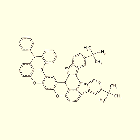 CC(C)(C)c1ccc2sc3c(c2c1)-n1c2ccc(C(C)(C)C)cc2c2ccc4c(c21)B3c1cc2c(cc1O4)Oc1cccc3c1B2c1ccccc1N3c1ccccc1